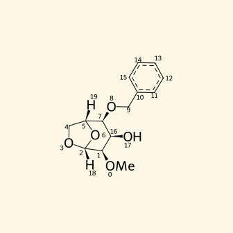 CO[C@H]1[C@@H]2OC[C@@H](O2)[C@@H](OCc2ccccc2)[C@H]1O